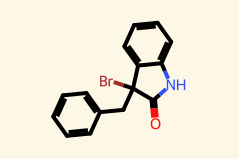 O=C1Nc2ccccc2C1(Br)Cc1ccccc1